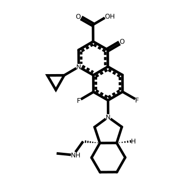 CNC[C@@]12CCCC[C@@H]1CN(c1c(F)cc3c(=O)c(C(=O)O)cn(C4CC4)c3c1F)C2